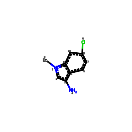 CCn1cc(N)c2ccc(Cl)cc21